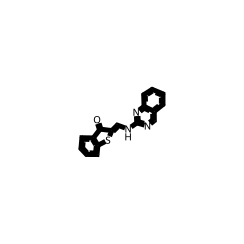 O=C1/C(=C/Nc2ncc3ccccc3n2)Sc2ccccc21